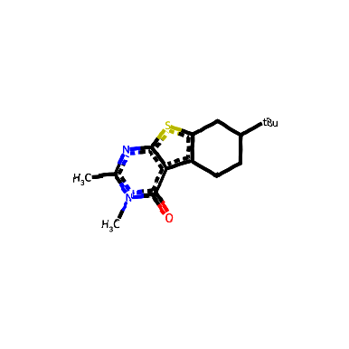 Cc1nc2sc3c(c2c(=O)n1C)CCC(C(C)(C)C)C3